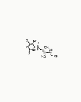 Nc1c(NC[C@@H](O)[C@@H](O)[C@H](O)CO)[nH]c(=O)[nH]c1=O